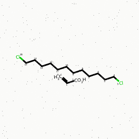 C=CC(=O)O.ClCCCCCCCCCCCCCl